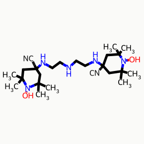 [C-]#[N+]C1(NCCNCCNC2(C#N)CC(C)(C)N(O)C(C)(C)C2)CC(C)(C)N(O)C(C)(C)C1